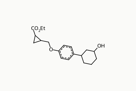 CCOC(=O)C1CC1COc1ccc(C2CCCC(O)C2)cc1